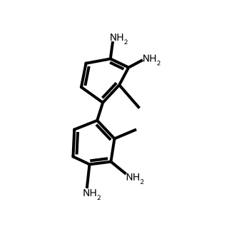 Cc1c(-c2ccc(N)c(N)c2C)ccc(N)c1N